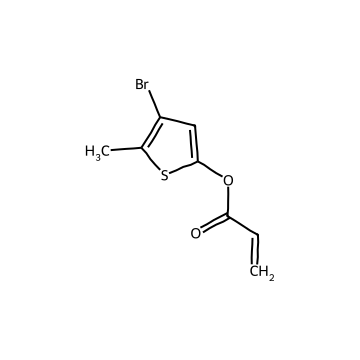 C=CC(=O)Oc1cc(Br)c(C)s1